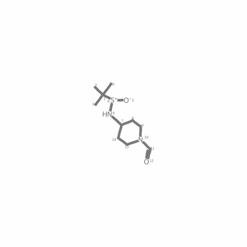 CC(C)(C)[S+]([O-])NC1CCN(C=O)CC1